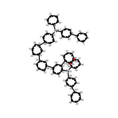 c1ccc(-c2ccc(N(c3ccccc3)c3ccc(-c4cccc(-c5cccc(-c6ccc(N(c7ccccc7)c7ccc(-c8ccccc8)cc7)c(-c7ccccc7)c6)c5)c4)cc3)cc2)cc1